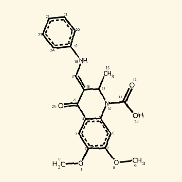 COc1cc2c(cc1OC)N(C(=O)O)C(C)C(=CNc1ccccc1)C2=O